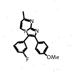 COc1ccc(-c2nc3nc(C)ccn3c2-c2cccc(F)c2)cc1